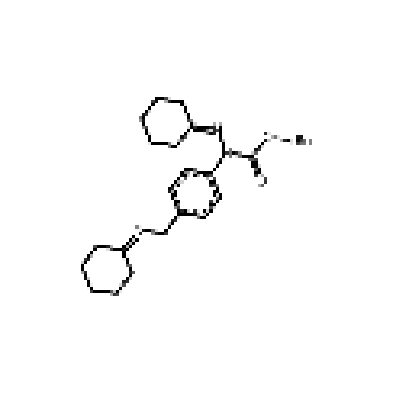 CC(C)(C)OC(=O)N(N=C1CCCCC1)c1ccc(CN=C2CCCCC2)cc1